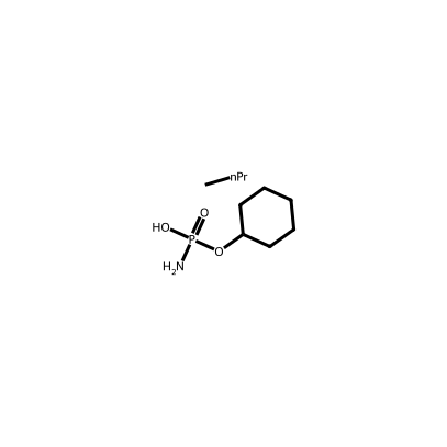 CCCC.NP(=O)(O)OC1CCCCC1